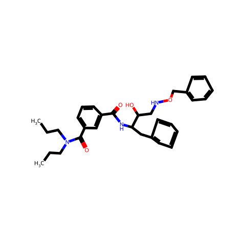 CCCN(CCC)C(=O)c1cccc(C(=O)NC(Cc2ccccc2)C(O)CNOCc2ccccc2)c1